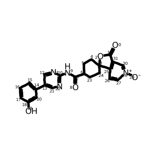 O=C1OC2(CCC(C(=O)Nc3ncc(-c4cccc(O)c4)cn3)CC2)c2cc[n+]([O-])cc21